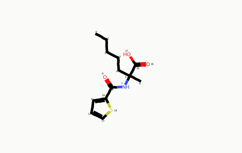 CCCCCC(C)(NC(=O)c1cccs1)C(=O)O